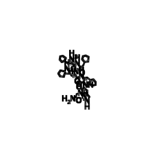 NC(=O)CNC(=O)[C@H](Cc1c[nH]cn1)NC(=O)[C@H](Cc1ccccc1)NC(=O)[C@H](Cc1c[nH]c2ccccc12)NC(=O)[C@H](Cc1ccccc1)NC(=O)[C@@H](N)Cc1ccccc1